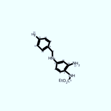 CCOC(=O)Nc1ccc(NCc2ccc([18F])cc2)cc1N